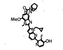 COc1cc(C(=O)N2CC3CCC2C3N)cc2nc(-c3cc4ccc(-c5nccc(O)c5F)nc4n3CC3CC3)n(C)c12